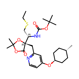 CCSC[C@H](NC(=O)OC(C)(C)C)[C@@]1(Cc2cc(O[C@H]3CC[C@H](C)CC3)ccn2)OC(C)(C)OC1=O